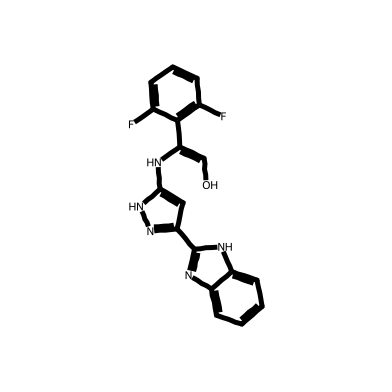 O/C=C(\Nc1cc(-c2nc3ccccc3[nH]2)n[nH]1)c1c(F)cccc1F